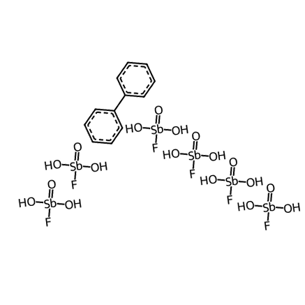 [O]=[Sb]([OH])([OH])[F].[O]=[Sb]([OH])([OH])[F].[O]=[Sb]([OH])([OH])[F].[O]=[Sb]([OH])([OH])[F].[O]=[Sb]([OH])([OH])[F].[O]=[Sb]([OH])([OH])[F].c1ccc(-c2ccccc2)cc1